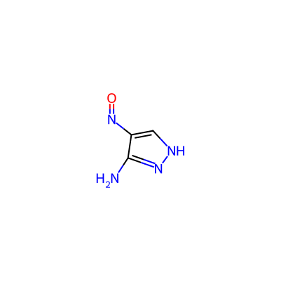 Nc1n[nH]cc1N=O